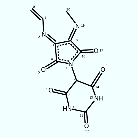 C=C/N=c1/c(=O)n(C2C(=O)NC(=O)NC2=O)c(=O)/c1=N/C